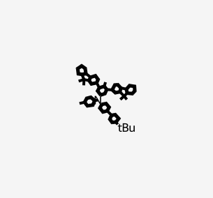 Cc1ccc(N(c2ccc(-c3ccc(C(C)(C)C)cc3)cc2)c2cc(-c3ccc4c(c3)C(C)(C)c3ccccc3-4)c(C)c(-c3ccc4c(c3)C(C)(C)c3ccccc3-4)c2)cc1